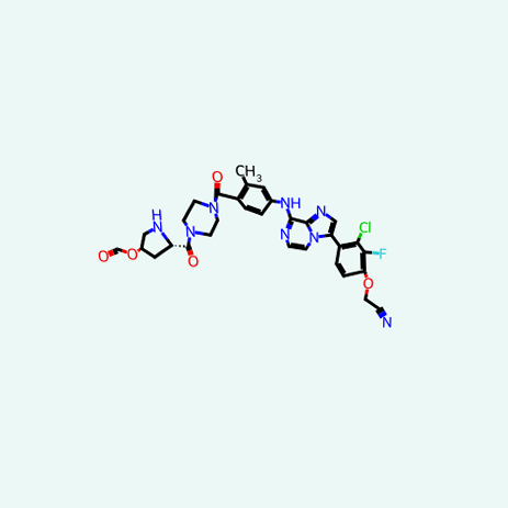 Cc1cc(Nc2nccn3c(-c4ccc(OCC#N)c(F)c4Cl)cnc23)ccc1C(=O)N1CCN(C(=O)[C@@H]2C[C@@H](OC=O)CN2)CC1